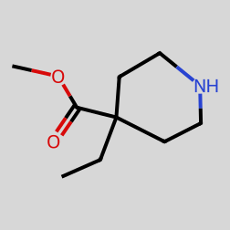 CCC1(C(=O)OC)CCNCC1